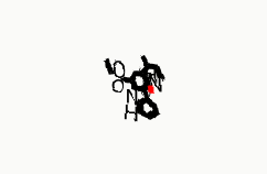 CCOC(=O)C1=C2Nc3ccccc3[C@]23CCN2CCC[C@@](CC)(C1)[C@H]23